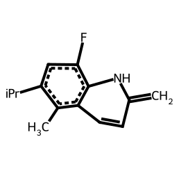 C=C1C=Cc2c(C)c(C(C)C)cc(F)c2N1